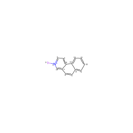 I[n+]1ccc2c(ccc3ccccc32)c1